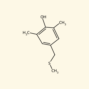 CSCc1cc(C)c(O)c(C)c1